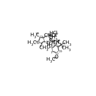 COc1cc([O][Ti]([C]2=C(C)C(C)=C(C)C2C)[SiH](C)C)cc(C(C)(C)C)c1.Cl.Cl